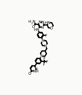 NC(=O)c1nnc(C2COCCN2)nc1Nc1ccc(N2CCN(CC3CCN(c4ccc(-c5ccc(=O)[nH]n5)cc4C(F)(F)F)CC3)CC2)c(F)c1